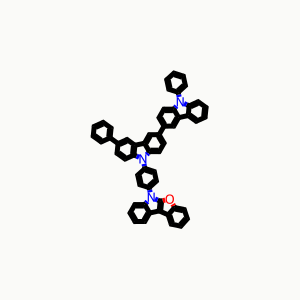 c1ccc(-c2ccc3c(c2)c2cc(-c4ccc5c(c4)c4ccccc4n5-c4ccccc4)ccc2n3-c2ccc(-n3c4ccccc4c4c5ccccc5oc43)cc2)cc1